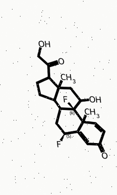 CC12CC(O)[C@@]3(F)C(C[C@H](F)C4=CC(=O)C=CC43C)C1CCC2C(=O)CO